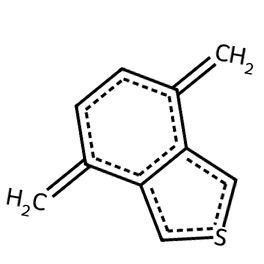 C=c1ccc(=C)c2cscc12